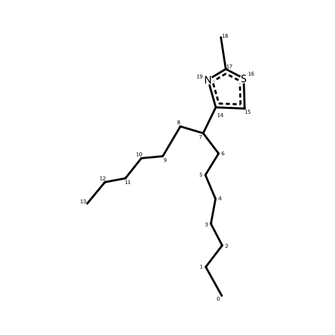 CCCCCCCC(CCCCCC)c1csc(C)n1